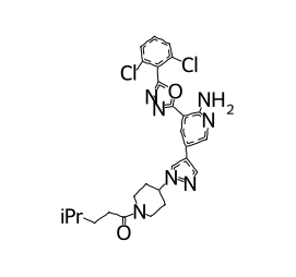 CC(C)CCC(=O)N1CCC(n2cc(-c3cnc(N)c(-c4nnc(-c5c(Cl)cccc5Cl)o4)c3)cn2)CC1